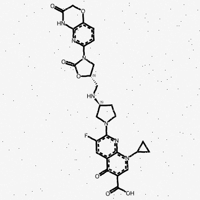 O=C1COc2ccc(N3C[C@H](CN[C@H]4CCN(c5nc6c(cc5F)c(=O)c(C(=O)O)cn6C5CC5)C4)OC3=O)nc2N1